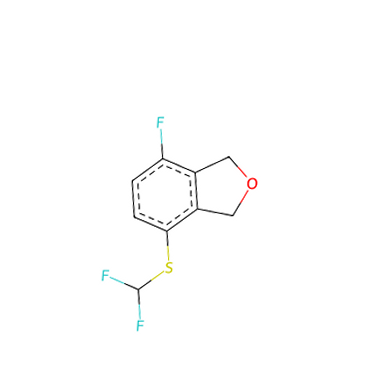 Fc1ccc(SC(F)F)c2c1COC2